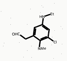 CCNc1cc(Cl)c(NC)c(CC=O)c1